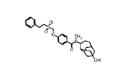 CN(C(=O)c1ccc(OCS(=O)(=O)CCc2ccccc2)cc1)C1CCC2CC3CC(O)(C2)CC31